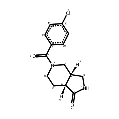 O=C1NC[C@H]2CN(C(=O)c3ccc(Cl)cc3)CC[C@@H]12